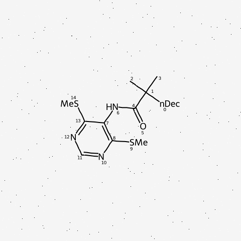 CCCCCCCCCCC(C)(C)C(=O)Nc1c(SC)ncnc1SC